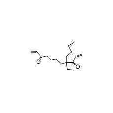 [CH2]CC(CCCC)(CCCCC(=O)C=C)C(=O)C=C